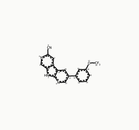 N#Cc1cc2c(cn1)[nH]c1ncc(-c3cccc(OC(F)(F)F)c3)cc12